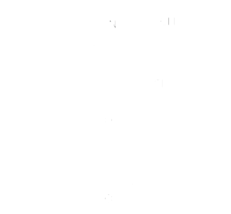 Cc1[nH]c2cccc(OCC3CO3)c2c1Cl